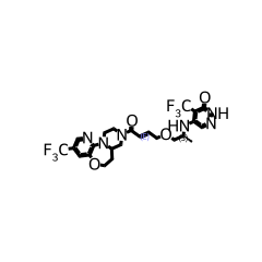 C[C@@H](COC/C=C/C(=O)N1CCN2c3ncc(C(F)(F)F)cc3OCCC2C1)Nc1cn[nH]c(=O)c1C(F)(F)F